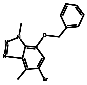 Cc1c(Br)cc(OCc2ccccc2)c2c1nnn2C